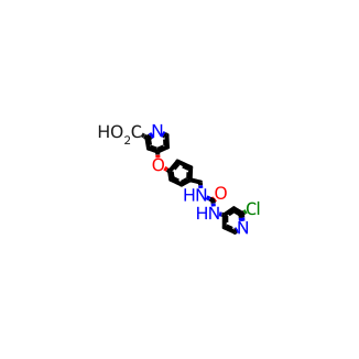 O=C(NCc1ccc(Oc2ccnc(C(=O)O)c2)cc1)Nc1ccnc(Cl)c1